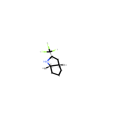 FC(F)(F)[C@@H]1C[C@@H]2CCC[C@@H]2N1